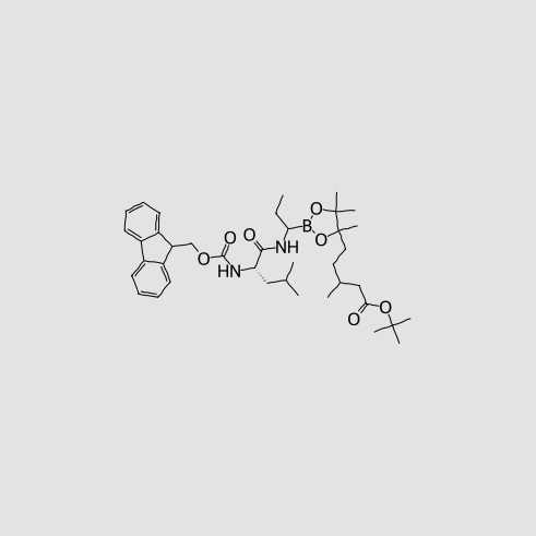 CCC(NC(=O)[C@H](CC(C)C)NC(=O)OCC1c2ccccc2-c2ccccc21)B1OC(C)(C)C(C)(CCC(C)CC(=O)OC(C)(C)C)O1